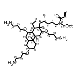 C=CC(=O)N(CCCCCCCC)CCC[C@@H](C)[C@H]1CCC2C3[C@H](OCCCN)CC4C[C@H](OCCCN)CCC4(C)[C@H]3C[C@H](OCCCN)C21C